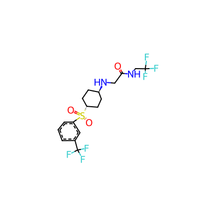 O=C(CN[C@H]1CC[C@H](S(=O)(=O)c2cccc(C(F)(F)F)c2)CC1)NCC(F)(F)F